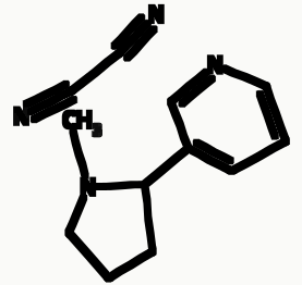 CN1CCCC1c1cccnc1.N#CC#N